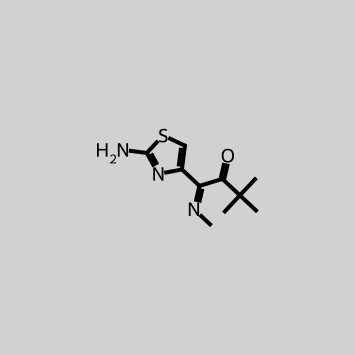 C/N=C(\C(=O)C(C)(C)C)c1csc(N)n1